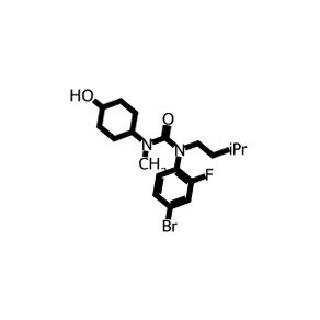 CC(C)CCN(C(=O)N(C)C1CCC(O)CC1)c1ccc(Br)cc1F